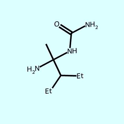 CCC(CC)C(C)(N)NC(N)=O